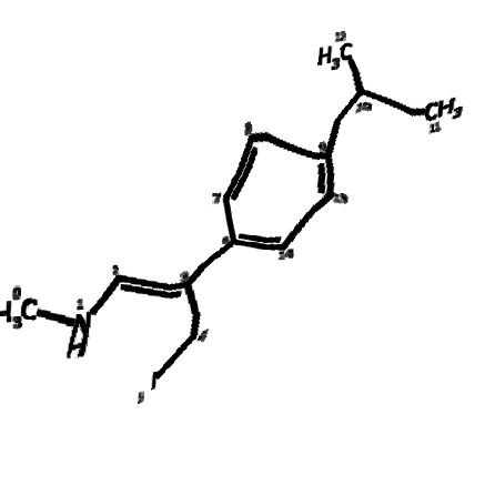 CN/C=C(\CI)c1ccc(C(C)C)cc1